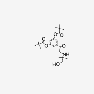 CC(C)(CO)NCC(=O)c1cc(OC(=O)C(C)(C)C)cc(OC(=O)C(C)(C)C)c1